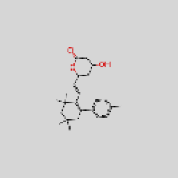 Cc1ccc(C2=C(C=CC3CC(O)CC(=O)O3)C(C)(C)CC(C)(C)C2)cc1